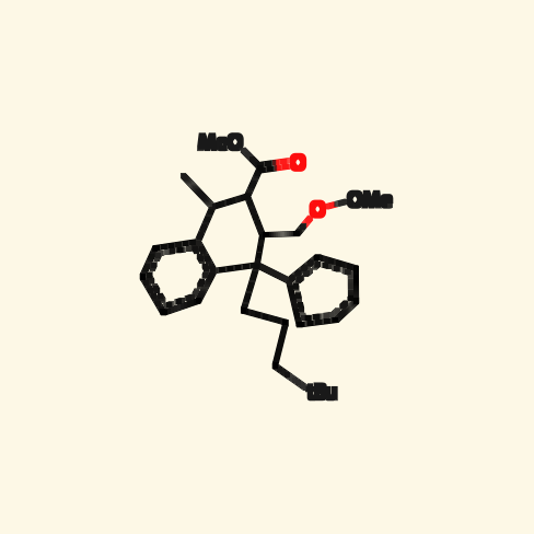 COOCC1C(C(=O)OC)C(C)c2ccccc2C1(CCCC(C)(C)C)c1ccccc1